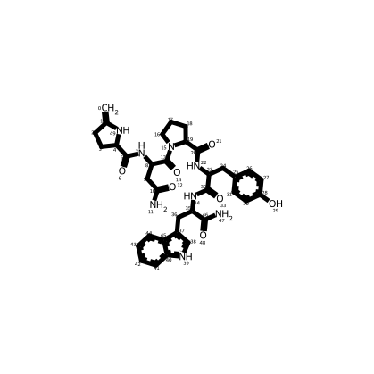 C=C1CCC(C(=O)NC(CC(N)=O)C(=O)N2CCCC2C(=O)NC(Cc2ccc(O)cc2)C(=O)NC(Cc2c[nH]c3ccccc23)C(N)=O)N1